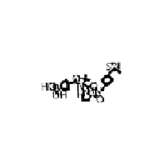 Cc1ncsc1-c1ccc(CNC(=O)[C@@H]2CCCN2C(=O)[C@@H](NC(=O)c2ccc(B(O)O)cc2)C(C)(C)C)cc1